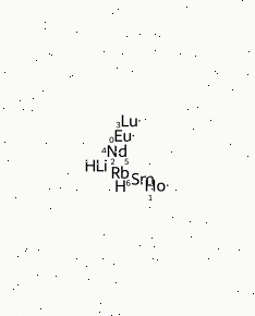 [Eu].[Ho].[LiH].[Lu].[Nd].[RbH].[Sm]